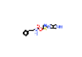 O=C(NCCCc1ccccc1)Oc1cnc(N2CC3=C(CNC3)C2)s1